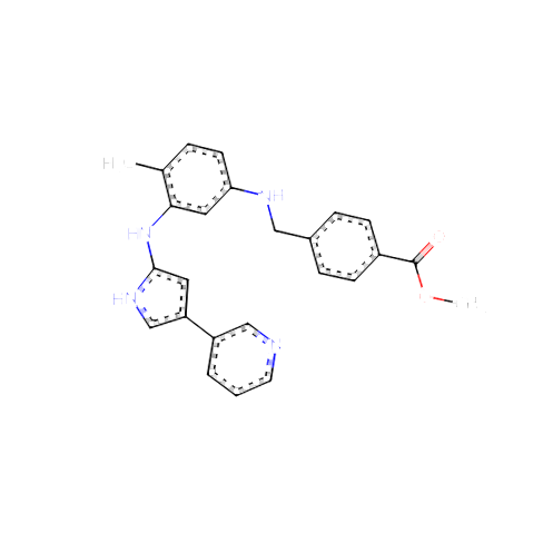 COC(=O)c1ccc(CNc2ccc(C)c(Nc3cc(-c4cccnc4)c[nH]3)c2)cc1